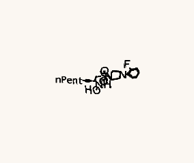 CCCCCC#CC(CS(=O)(=O)N1CCN(c2ccccc2F)CC1)NO